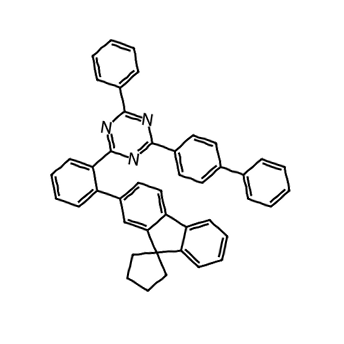 c1ccc(-c2ccc(-c3nc(-c4ccccc4)nc(-c4ccccc4-c4ccc5c(c4)C4(CCCC4)c4ccccc4-5)n3)cc2)cc1